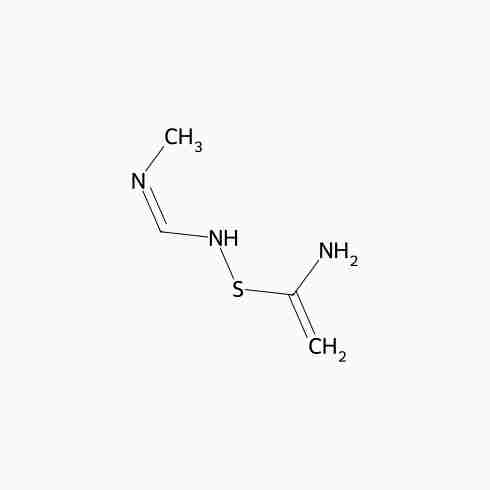 C=C(N)SN/C=N\C